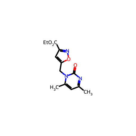 CCOC(=O)c1cc(Cn2c(C)cc(C)nc2=O)on1